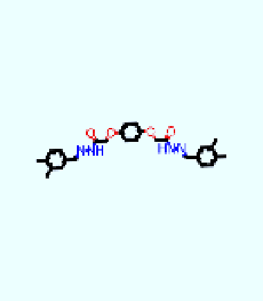 Cc1ccc(/C=N/NC(=O)COc2ccc(OCC(=O)N/N=C/c3ccc(C)c(C)c3)cc2)cc1C